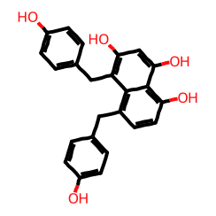 Oc1ccc(Cc2ccc(O)c3c(O)cc(O)c(Cc4ccc(O)cc4)c23)cc1